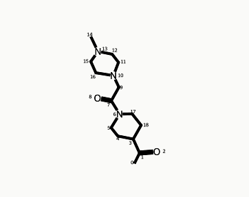 CC(=O)C1CCN(C(=O)CN2CCN(C)CC2)CC1